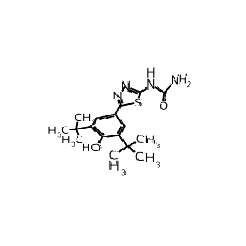 CC(C)(C)c1cc(-c2nnc(NC(N)=O)s2)cc(C(C)(C)C)c1O